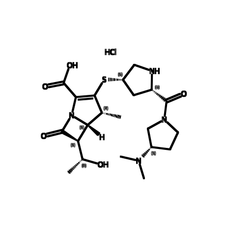 C[C@@H](O)[C@H]1C(=O)N2C(C(=O)O)=C(S[C@@H]3CN[C@H](C(=O)N4CC[C@H](N(C)C)C4)C3)[C@H](C)[C@H]12.Cl